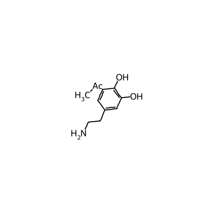 CC(C)=O.NCCc1ccc(O)c(O)c1